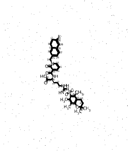 Cc1c(C)c(S(=O)(=O)NC(=N)NCCC[C@H](NC(=O)c2cccn(Cc3ccc4cc(F)ccc4c3)c2=O)C(=O)O)c(C)c2c1OC(C)(C)CC2